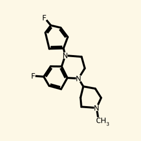 CN1CCC(N2CCN(c3ccc(F)cc3)c3cc(F)ccc32)CC1